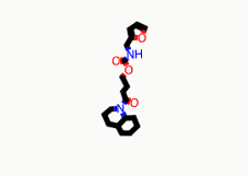 O=C(NCc1ccco1)OCCCC(=O)N1CCCC2CCCCC21